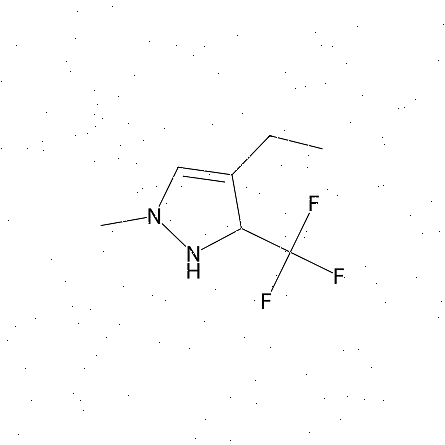 CCC1=CN(C)NC1C(F)(F)F